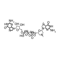 CN1C[C@@H](COP(=O)(O)OP(=O)(S)OP(=O)(O)OC[C@H]2O[C@@H](n3cnc4c(=O)[nH]c(N)nc43)[C@H](O)[C@@H]2O)O[C@@H](N2CN(C)c3c2nc(N)[nH]c3=O)C1